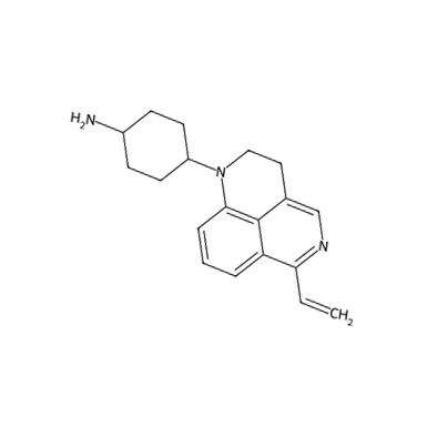 C=Cc1ncc2c3c(cccc13)N(C1CCC(N)CC1)CC2